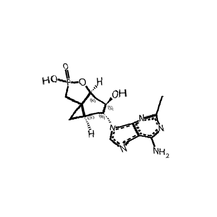 Cc1nc(N)c2ncn([C@H]3[C@H](O)[C@@H]4OP(=O)(O)CC45C[C@H]35)c2n1